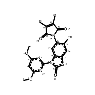 COc1cc(OC)nc(-n2c(=O)sc3cc(F)c(N4C(=O)C(C)=C(C)C4=O)cc32)n1